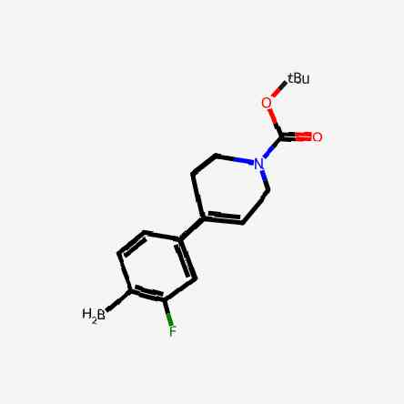 Bc1ccc(C2=CCN(C(=O)OC(C)(C)C)CC2)cc1F